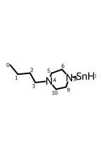 CCCCN1CC[N]([SnH])CC1